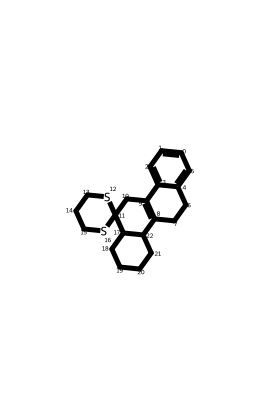 c1ccc2c(c1)CCC1=C2CC2(SCCCS2)C2CCCCC12